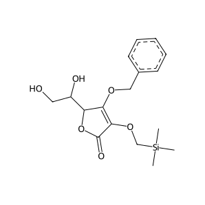 C[Si](C)(C)COC1=C(OCc2ccccc2)C(C(O)CO)OC1=O